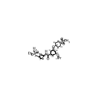 CCOP(C)(=O)Cc1csc(NC(=O)c2cc(OC(C)C)cc(OC3CCN(S(C)(=O)=O)CC3)c2)n1